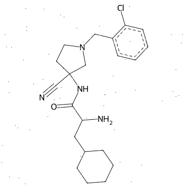 N#CC1(NC(=O)C(N)CC2CCCCC2)CCN(Cc2ccccc2Cl)C1